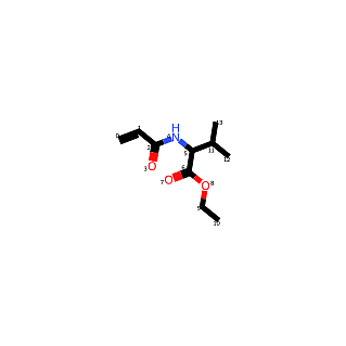 C=CC(=O)NC(C(=O)OCC)C(C)C